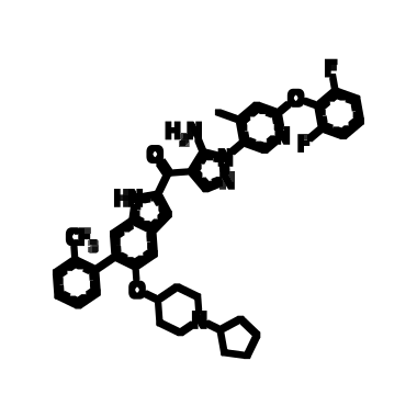 Cc1cc(Oc2c(F)cccc2F)ncc1-n1ncc(C(=O)c2cc3cc(OC4CCN(C5CCCC5)CC4)c(-c4ccccc4C(F)(F)F)cc3[nH]2)c1N